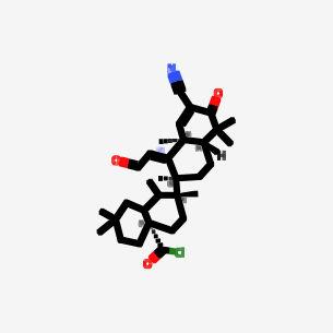 CC1C2CC(C)(C)CC[C@]2(C(=O)Cl)CC[C@@]1(C)[C@]1(C)CC[C@H]2C(C)(C)C(=O)C(C#N)=C[C@]2(C)/C1=C/C=O